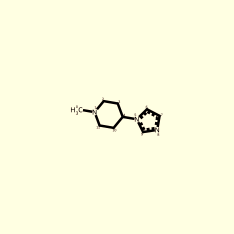 CN1CCC(n2ccnc2)CC1